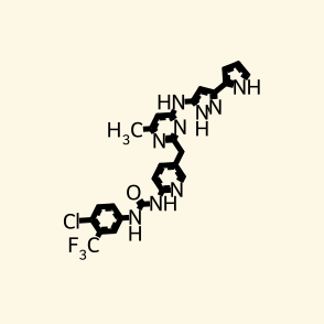 Cc1cc(Nc2cc(-c3ccc[nH]3)n[nH]2)nc(Cc2ccc(NC(=O)Nc3ccc(Cl)c(C(F)(F)F)c3)nc2)n1